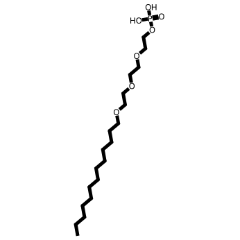 CCCCCCCCCCCCCOCCOCCOCCOP(=O)(O)O